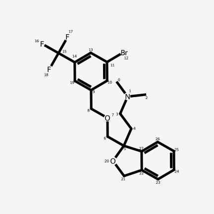 CN(C)CCC1(COCc2cc(Br)cc(C(F)(F)F)c2)OCc2ccccc21